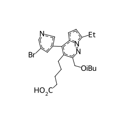 CCc1ccc2c(-c3cncc(Br)c3)c(CCCCC(=O)O)c(COCC(C)C)nn12